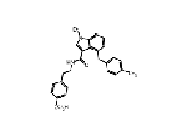 CCn1cc(C(=O)NCCc2ccc(C(=O)O)cc2)c2c(Cc3ccc(C(F)(F)F)cc3)cccc21